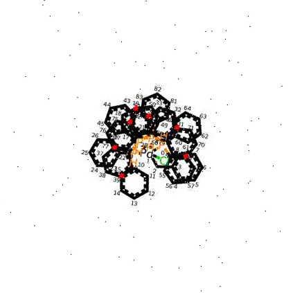 [Cl][Pd]([CH2]c1ccccc1)([PH](c1ccccc1)(c1ccccc1)c1ccccc1)([PH](c1ccccc1)(c1ccccc1)c1ccccc1)([PH](c1ccccc1)(c1ccccc1)c1ccccc1)[PH](c1ccccc1)(c1ccccc1)c1ccccc1